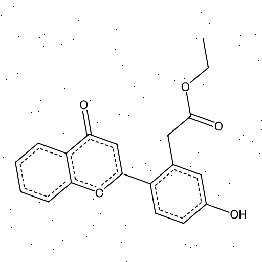 CCOC(=O)Cc1cc(O)ccc1-c1cc(=O)c2ccccc2o1